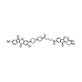 CCc1cc2c(cc1N1CCC(N3CCN(C(=O)CCCCNc4ccc5c(c4)C(=O)N(C4CCC(=O)NC4=O)C5=O)CC3)CC1)C(C)(C)c1[nH]c3cc(C#N)ccc3c1C2=O